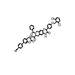 N#Cc1ccc(-c2ccc(CC(NC(=O)C3Cc4cc5c(cc4CN3C(=O)c3ccccc3)OC(c3ccc(OCc4c(Cl)cccc4Cl)cc3)C(=O)N5)C(=O)O)cc2)cc1